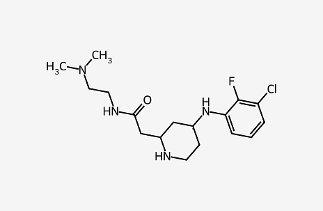 CN(C)CCNC(=O)CC1C[C](Nc2cccc(Cl)c2F)CCN1